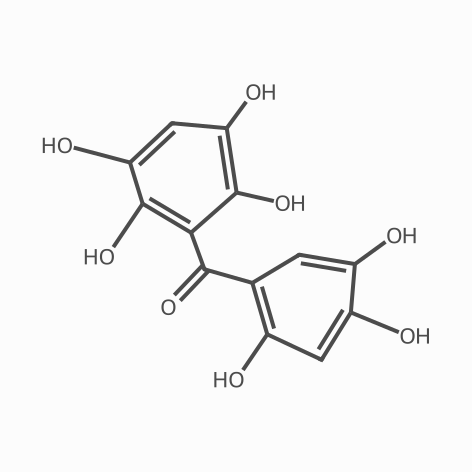 O=C(c1cc(O)c(O)cc1O)c1c(O)c(O)cc(O)c1O